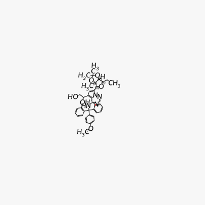 CC[C@H]1O[C@@H](c2cc(C(O)CO)c3c(NC(c4ccccc4)(c4ccccc4)c4ccc(OC)cc4)ncnn23)[C@]2(C)OC(C)(C)O[C@H]12